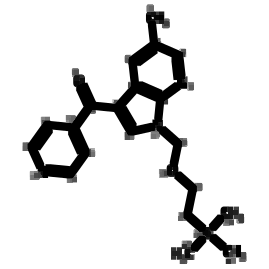 Cc1cnc2c(c1)c(C(=O)c1ccncc1)cn2COCC[Si](C)(C)C